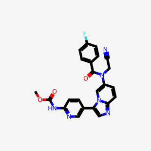 COC(=O)Nc1ccc(-c2cnc3ccc(N(CC#N)C(=O)c4ccc(F)cc4)cn23)cn1